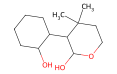 CC1(C)CCOC(O)C1C1CCCCC1O